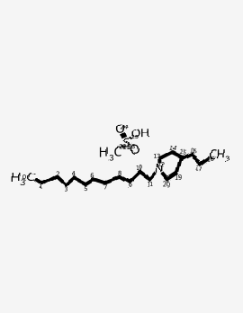 CCCCCCCCCCCCN1CCC(CCC)CC1.CS(=O)(=O)O